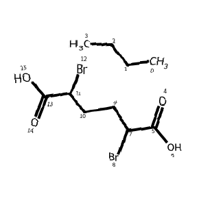 CCCC.O=C(O)C(Br)CCC(Br)C(=O)O